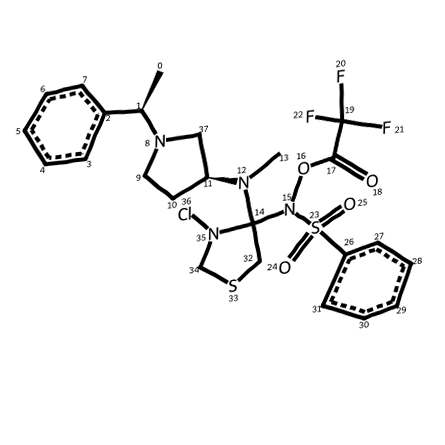 C[C@H](c1ccccc1)N1CC[C@H](N(C)C2(N(OC(=O)C(F)(F)F)S(=O)(=O)c3ccccc3)CSCN2Cl)C1